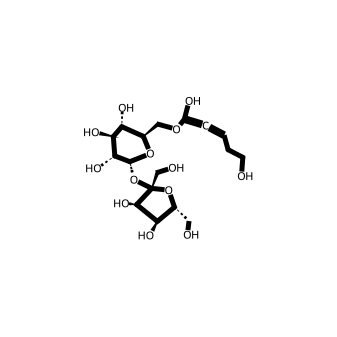 OCCC=C=C(O)OC[C@H]1O[C@H](O[C@]2(CO)O[C@H](CO)[C@@H](O)[C@@H]2O)[C@H](O)[C@@H](O)[C@@H]1O